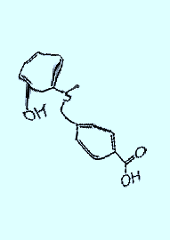 O=C(O)c1ccc(CSc2ccccc2O)cc1